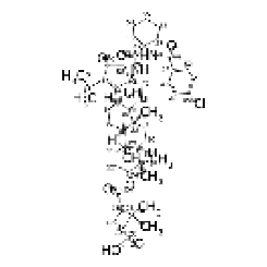 CC(C)C1=C2[C@H]3CC[C@@H]4[C@@]5(C)CC[C@H](OC(=O)[C@H]6C[C@@H](C(=O)O)C6(C)C)C(C)(C)[C@@H]5CC[C@@]4(C)[C@]3(C)CC[C@@]2(NC(=O)C2(NC(=O)c3ccc(Cl)cc3)CCCCC2)CC1=O